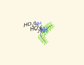 O=C(O)NCCCCCC(CC(F)(F)C(F)(F)C(F)(F)C(F)(F)C(F)(F)C(F)F)(CC(F)(F)C(F)(F)C(F)(F)C(F)(F)C(F)(F)C(F)F)NC(=O)O